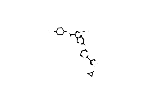 CC(C)n1cc(C(=O)NC2CCC(C#N)CC2)c2cnc(Nc3ccnc(-c4cnn(SC5CC5)c4)n3)cc21